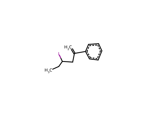 C=C(CC(I)CC)c1ccccc1